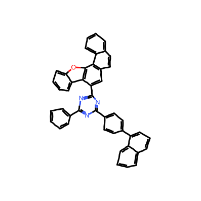 c1ccc(-c2nc(-c3ccc(-c4cccc5ccccc45)cc3)nc(-c3cc4ccc5ccccc5c4c4oc5ccccc5c34)n2)cc1